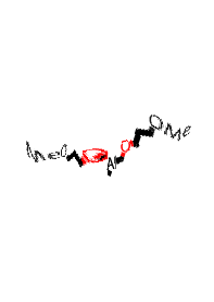 COCCCO[CH2][Al]([CH3])[O]CCCOC